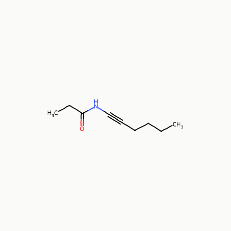 CCCCC#CNC(=O)CC